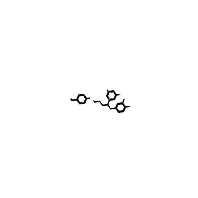 Cc1ccc(CC(CCCSc2ccc(C=O)cc2)c2cc(F)cc(F)c2)cc1C